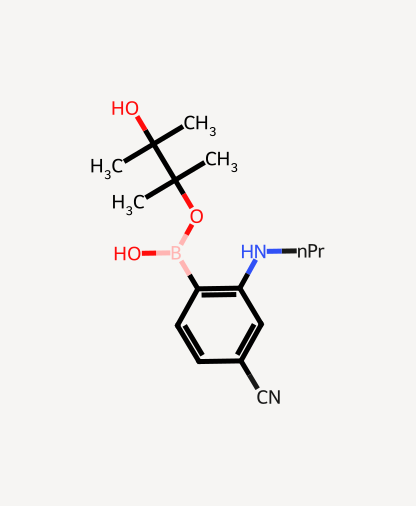 CCCNc1cc(C#N)ccc1B(O)OC(C)(C)C(C)(C)O